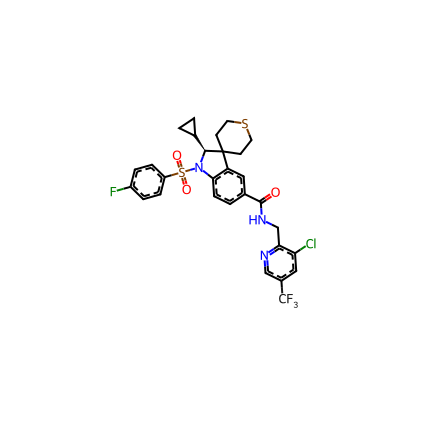 O=C(NCc1ncc(C(F)(F)F)cc1Cl)c1ccc2c(c1)C1(CCSCC1)[C@H](C1CC1)N2S(=O)(=O)c1ccc(F)cc1